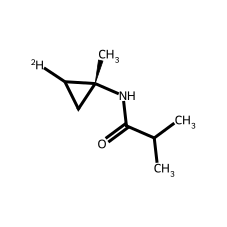 [2H]C1C[C@@]1(C)NC(=O)C(C)C